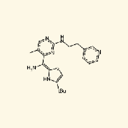 Cc1cnc(NCCc2cccnc2)nc1/C(N)=C1/NC(C(C)(C)C)=CS1